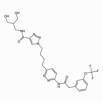 O=C(Cc1cccc(OC(F)(F)F)c1)Nc1ccc(CCCCn2cc(C(=O)NCC(CO)CO)nn2)nn1